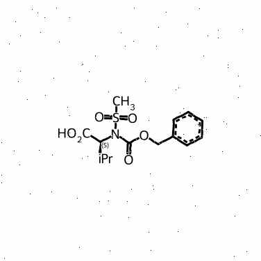 CC(C)[C@@H](C(=O)O)N(C(=O)OCc1ccccc1)S(C)(=O)=O